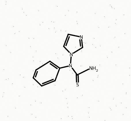 NC(=S)N(c1ccccc1)n1ccnc1